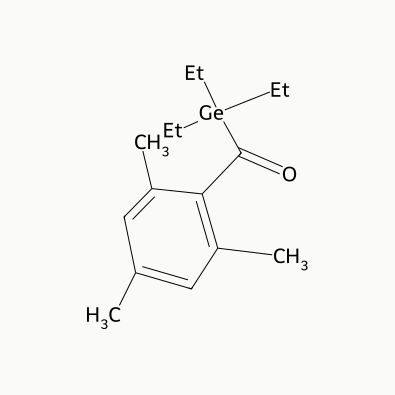 C[CH2][Ge]([CH2]C)([CH2]C)[C](=O)c1c(C)cc(C)cc1C